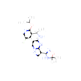 CC(C)Oc1ncc(F)cc1C(C)Nc1ccn2ncc(C3=NOC(C)(C)N3)c2n1